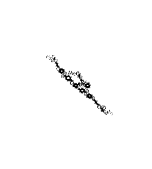 C=CC(=O)OCCCCOc1ccc(OC(=O)C2CCC(COc3ccc(OCC4CCC(C(=O)Oc5ccc(OCCCCOC(=O)C=C)cc5)CC4)c(/C=N/N(CCOCCOC)c4nc5ccccc5s4)c3)CC2)cc1